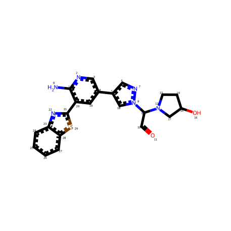 Nc1ncc(-c2cnn(C(C=O)N3CCC(O)C3)c2)cc1-c1nc2ccccc2s1